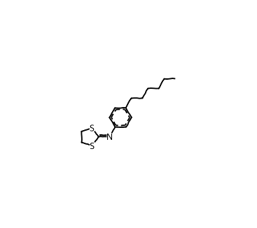 CCCCCCc1ccc(N=C2SCCS2)cc1